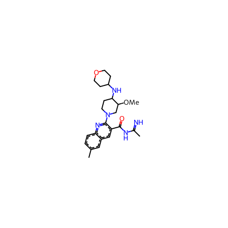 COC1CN(c2nc3ccc(C)cc3cc2C(=O)NC(C)=N)CCC1NC1CCOCC1